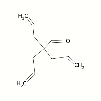 C=CCC(C=O)(CC=C)CC=C